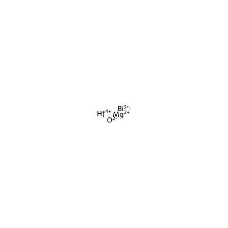 [Bi+3].[Hf+4].[Mg+2].[O-2]